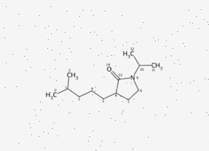 CC(C)CCCC1CCN(C(C)C)C1=O